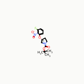 CC(C)(C)OC(=O)N1CC[C@@H](Oc2cccc(F)c2[N+](=O)[O-])C1